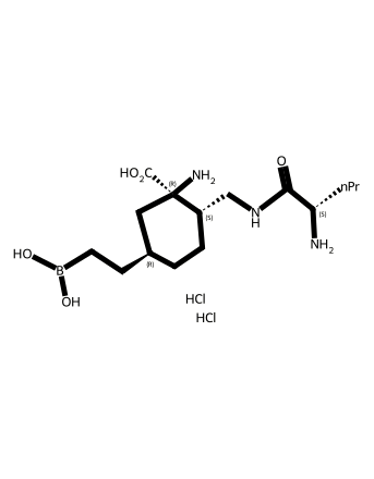 CCC[C@H](N)C(=O)NC[C@@H]1CC[C@@H](CCB(O)O)C[C@]1(N)C(=O)O.Cl.Cl